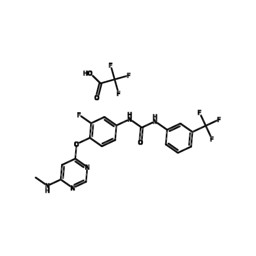 CNc1cc(Oc2ccc(NC(=O)Nc3cccc(C(F)(F)F)c3)cc2F)ncn1.O=C(O)C(F)(F)F